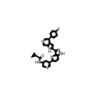 O=C(Nc1cncc(-c2ccc3[nH]nc(-c4cc5c(-c6ccc(F)cc6)cncc5[nH]4)c3n2)c1)C1CC1